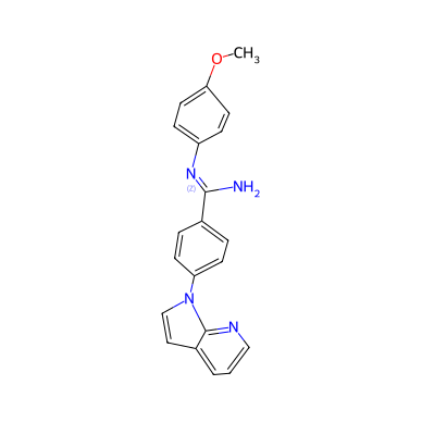 COc1ccc(/N=C(\N)c2ccc(-n3ccc4cccnc43)cc2)cc1